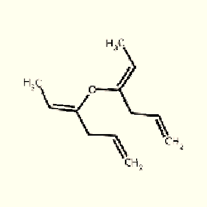 C=CC/C(=C/C)O/C(=C\C)CC=C